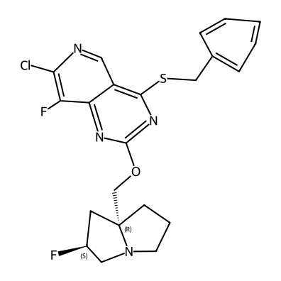 Fc1c(Cl)ncc2c(SCc3ccccc3)nc(OC[C@]34CCCN3C[C@@H](F)C4)nc12